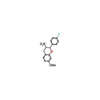 COc1ccc2c(c1)OC(c1ccc(F)cc1)C([N+](=O)[O-])C2